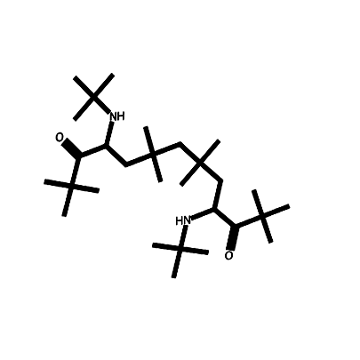 CC(C)(CC(NC(C)(C)C)C(=O)C(C)(C)C)CC(C)(C)CC(NC(C)(C)C)C(=O)C(C)(C)C